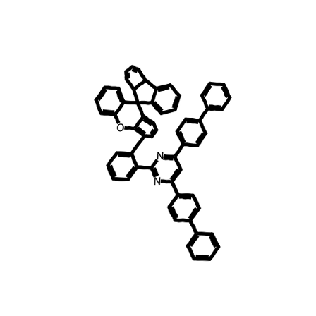 C1=CC2c3ccccc3C3(c4ccccc4Oc4c(-c5ccccc5-c5nc(-c6ccc(-c7ccccc7)cc6)cc(-c6ccc(-c7ccccc7)cc6)n5)cccc43)C2C=C1